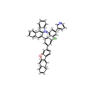 Brc1cc(-c2ccc3c(c2)oc2cc4ccccc4cc23)cc(-c2cc3ccccc3c3c4ccccc4n(-c4cccc(-c5cccnc5)c4)c23)c1